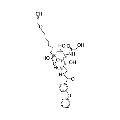 C#CCOCCCCCCS[C@]1(C(=O)O)C[C@H](O)[C@@H](NC(=O)CO)[C@H]([C@H](O)[C@H](O)CNC(=O)c2cccc(Oc3ccccc3)c2)O1